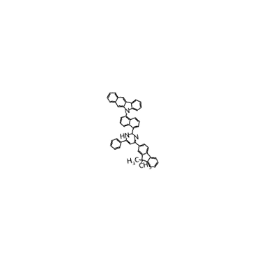 CC1(C)c2ccccc2-c2ccc(C3=NC(c4cccc5c(-n6c7ccccc7c7cc8ccccc8cc76)cccc45)NC(c4ccccc4)=C3)cc21